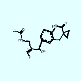 O=C(O)NC/C(=C/F)C(O)c1ccc2c(c1)CC1(CC1)C(=O)N2